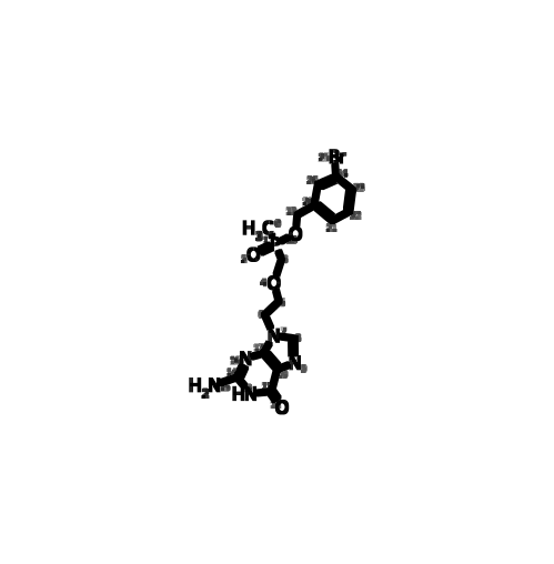 CP(=O)(COCCn1cnc2c(=O)[nH]c(N)nc21)OCc1cccc(Br)c1